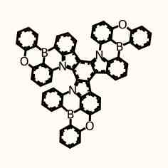 c1ccc2c(c1)Oc1cccc3c1B2c1cccc2c4c5c6ccc7c8c6n(c5c5c(c6cccc9c6n5-c5cccc6c5B9c5ccccc5O6)c4n-3c12)-c1ccccc1B8c1ccccc1O7